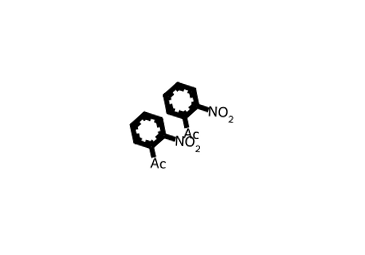 CC(=O)c1ccccc1[N+](=O)[O-].CC(=O)c1ccccc1[N+](=O)[O-]